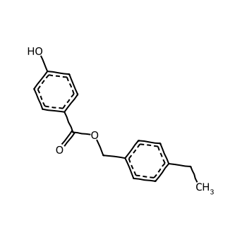 CCc1ccc(COC(=O)c2ccc(O)cc2)cc1